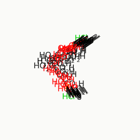 CC(O)C(=O)O.CC(O)C(=O)O.Cl.Cl.O=C(O)CC(O)(CC(=O)O)C(=O)O.O=C(O)CC(O)(CC(=O)O)C(=O)O.O=C(O)O.O=C(O)O.O=C(O)[C@H](O)[C@@H](O)[C@H](O)[C@H](O)CO.O=C(O)[C@H](O)[C@@H](O)[C@H](O)[C@H](O)CO.O=P(O)(O)O.O=P(O)(O)O.O=S(=O)(O)O.O=S(=O)(O)O.[Mg+2].[Mg+2].[Mg+2].[Mg+2].[Mg+2].[Mg+2].[Mg+2].[Mg+2].[Mg+2].[Mg+2].[Mg+2].[Mg+2].[Mg+2].[Mg+2].[Mg+2].[O-2].[O-2]